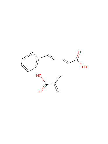 C=C(C)C(=O)O.O=C(O)C=CC=Cc1ccccc1